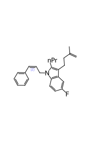 C=C(C)CCc1c(CCC)n(C/C=C\c2ccccc2)c2ccc(F)cc12